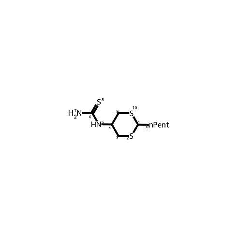 CCCCCC1SCC(NC(N)=S)CS1